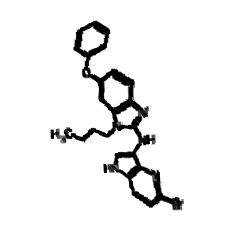 CCCCn1c(Nc2c[nH]c3ccc(Br)nc23)nc2ccc(Oc3ccccc3)cc21